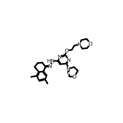 Cc1cc(C)c2c(c1)C(=NNc1cc(N3CCOCC3)nc(OCCN3CCOCC3)n1)CCC2